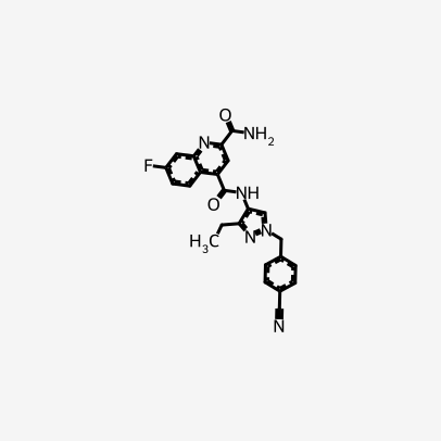 CCc1nn(Cc2ccc(C#N)cc2)cc1NC(=O)c1cc(C(N)=O)nc2cc(F)ccc12